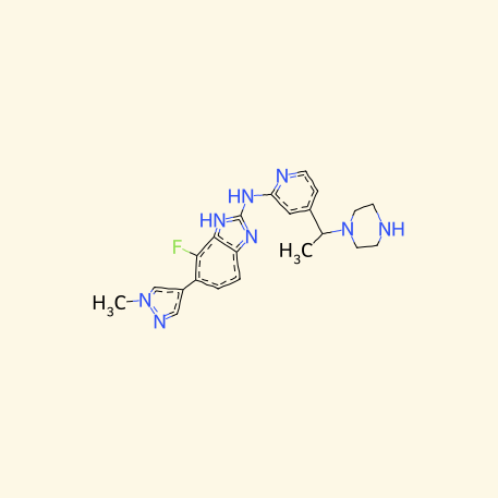 CC(c1ccnc(Nc2nc3ccc(-c4cnn(C)c4)c(F)c3[nH]2)c1)N1CCNCC1